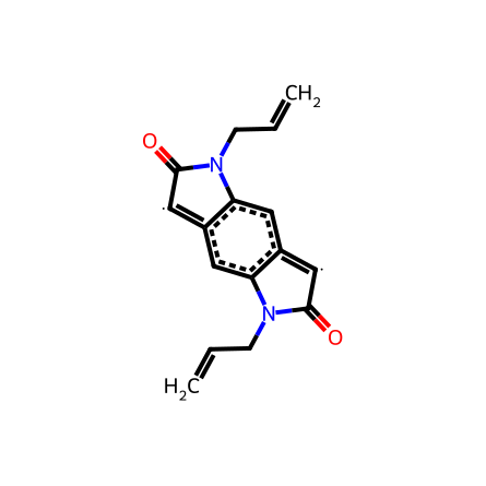 C=CCN1C(=O)[C]=c2cc3c(cc21)=[C]C(=O)N3CC=C